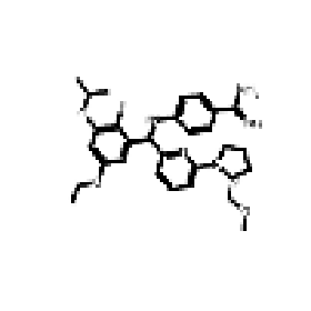 CCOc1cc(OC(C)C)c(F)c(C(Nc2ccc(C(=N)N)cc2)c2cccc(N3CCC[C@H]3COC)n2)c1